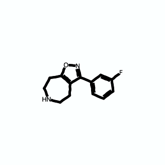 Fc1cccc(-c2noc3c2CCNCC3)c1